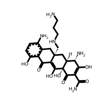 NCCCNC[C@@]12Cc3c(N)ccc(O)c3C(=O)C1=C(O)[C@]1(O)C(=O)C(C(N)=O)=C(O)[C@@H](N)[C@@H]1C2